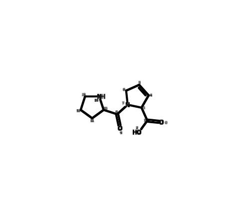 O=C(O)C1C=CCN1C(=O)C1CCCN1